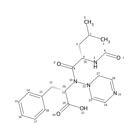 CC(C)C[C@H](NC=O)C(=O)N([C@@H](Cc1ccccc1)C(=O)O)N1C=CN=CC1